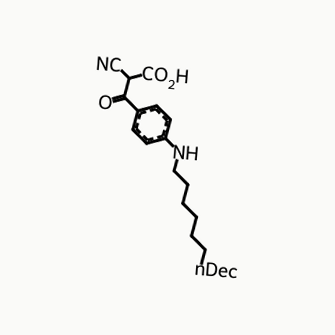 CCCCCCCCCCCCCCCCNc1ccc(C(=O)C(C#N)C(=O)O)cc1